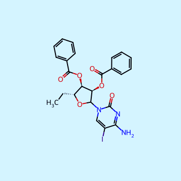 CC[C@H]1OC(n2cc(I)c(N)nc2=O)[C@H](OC(=O)c2ccccc2)[C@@H]1OC(=O)c1ccccc1